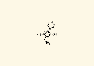 CCCc1cc(C2CCCCC2)c(O)cc1CN